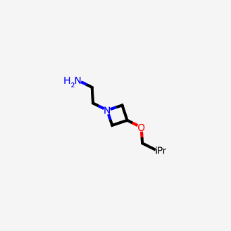 CC(C)COC1CN(CCN)C1